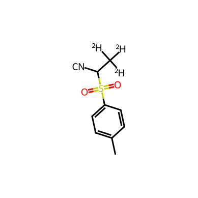 [2H]C([2H])([2H])C([N+]#[C-])S(=O)(=O)c1ccc(C)cc1